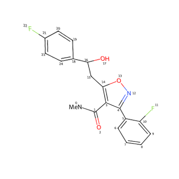 CNC(=O)c1c(-c2ccccc2F)noc1CC(O)c1ccc(F)cc1